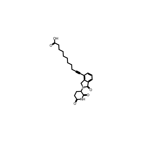 O=C(O)CCCCCCCCC#Cc1cccc2c1CN(C1CCC(=O)NC1=O)C2=O